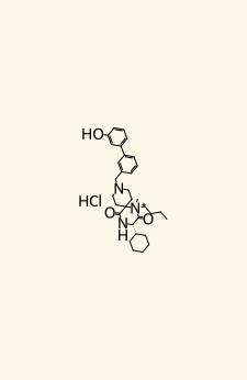 CCCC[N+]1(C)C(=O)[C@H](C2CCCCC2)NC(=O)C12CCN(Cc1cccc(-c3cccc(O)c3)c1)CC2.Cl